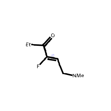 CCC(=O)/C(F)=C/CNC